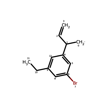 [CH2]C(C=C)c1cc(Br)cc(CC)c1